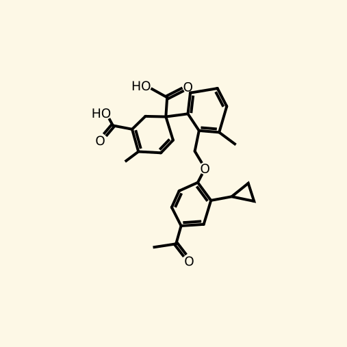 CC(=O)c1ccc(OCc2c(C)cccc2C2(C(=O)O)C=CC(C)=C(C(=O)O)C2)c(C2CC2)c1